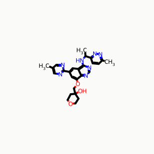 Cc1cnc(-c2cc(OCC3(O)CCOCC3)c3ncnc(NC(C)c4ccc(C)nn4)c3c2)nc1